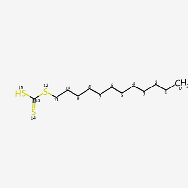 CCCCCCCCCCCCSC(=S)S